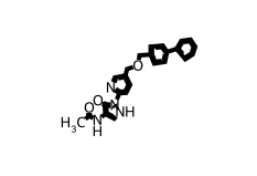 CC(=O)Nc1c[nH]n(-c2ccc(COCc3ccc(-c4ccccc4)cc3)cn2)c1=O